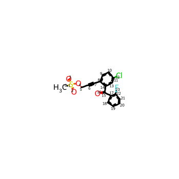 CS(=O)(=O)OCC#Cc1ccc(Cl)cc1C(=O)c1ccccc1F